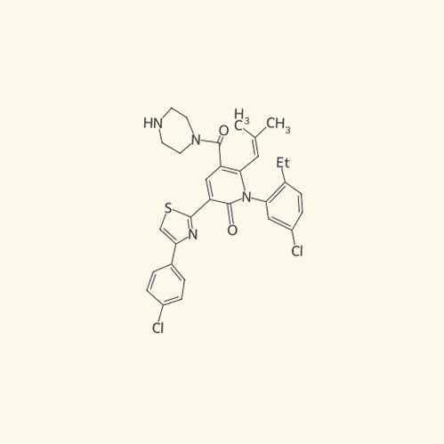 CCc1ccc(Cl)cc1-n1c(C=C(C)C)c(C(=O)N2CCNCC2)cc(-c2nc(-c3ccc(Cl)cc3)cs2)c1=O